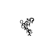 CC(=O)C(CC(=O)N(C)C1=NC=CCC1)NC(=O)N(C)Cc1csc(C(C)C)n1